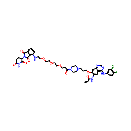 C=CC(=O)Nc1cc2c(Nc3ccc(F)c(Cl)c3)ncnc2cc1OCCCN1CCN(C(=O)CCOCCOCCOCCNc2cccc3c2C(=O)N(C2CCC(=O)NC2=O)C3=O)CC1